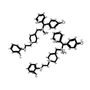 CC(C)N(CC1CCN(CCOc2ccccc2F)CC1)C(c1ccc(Cl)cc1)c1ccccn1.CC(C)N(CC1CCN(CCOc2ccccc2F)CC1)C(c1ccc(Cl)cc1)c1ccccn1